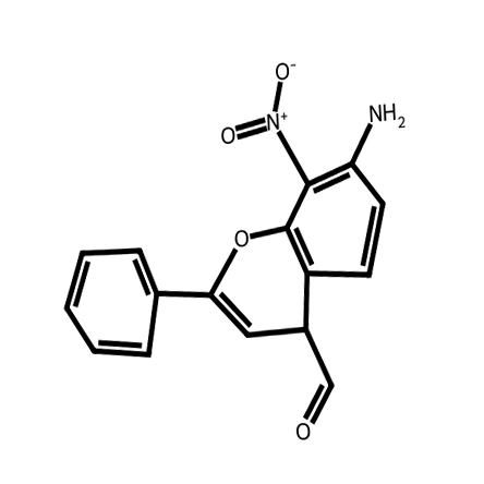 Nc1ccc2c(c1[N+](=O)[O-])OC(c1ccccc1)=CC2C=O